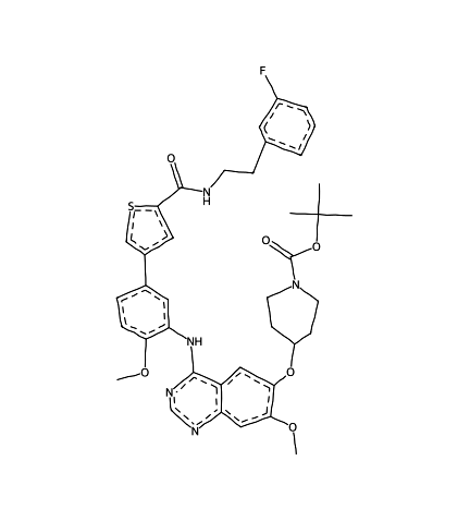 COc1ccc(-c2csc(C(=O)NCCc3cccc(F)c3)c2)cc1Nc1ncnc2cc(OC)c(OC3CCN(C(=O)OC(C)(C)C)CC3)cc12